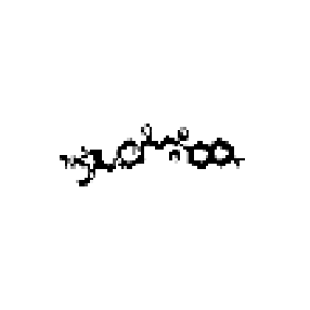 CCn1c(CN2CCN(C(=O)CCS(=O)(=O)c3ccc4cc(Cl)ccc4c3)CC2)cs/c1=N\C